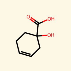 O=C(O)C1(O)CC=CCC1